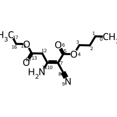 CCCCOC(=O)/C(C#N)=C(/N)CC(=O)OCC